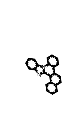 c1ccc2c(c1)ccc1c3ccccc3n3c4ccccc4nc3c21